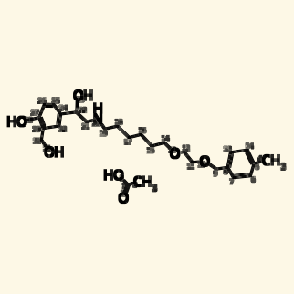 CC(=O)O.Cc1ccc(COCCOCCCCCCNC[C@H](O)c2ccc(O)c(CO)c2)cc1